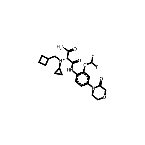 NC(=O)[C@H](C(=O)Nc1ccc(N2CCOCC2=O)cc1OC(F)F)N(CC1CCC1)C1CC1